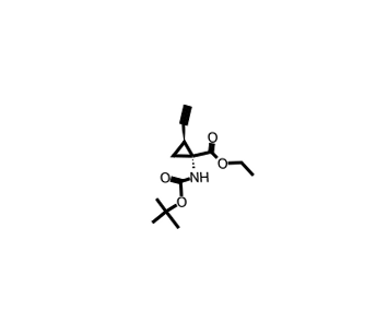 C#C[C@@H]1C[C@]1(NC(=O)OC(C)(C)C)C(=O)OCC